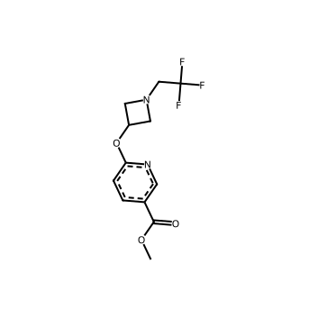 COC(=O)c1ccc(OC2CN(CC(F)(F)F)C2)nc1